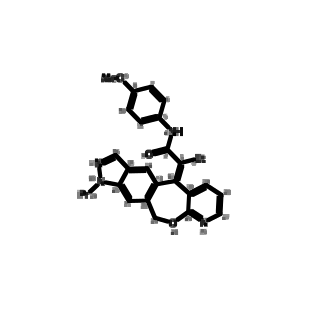 CCC(C(=O)Nc1ccc(OC)cc1)=C1c2cc3cnn(C(C)C)c3cc2COc2ncccc21